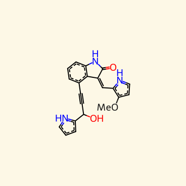 COc1cc[nH]c1C=C1C(=O)Nc2cccc(C#CC(O)c3ccc[nH]3)c21